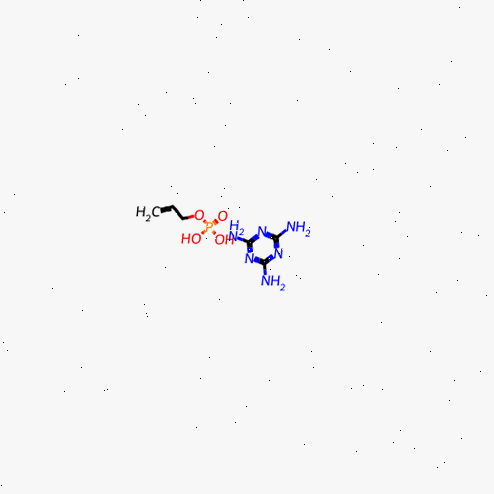 C=CCOP(=O)(O)O.Nc1nc(N)nc(N)n1